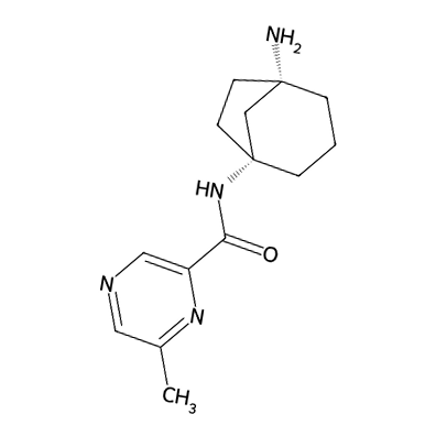 Cc1cncc(C(=O)N[C@]23CCC[C@](N)(CC2)C3)n1